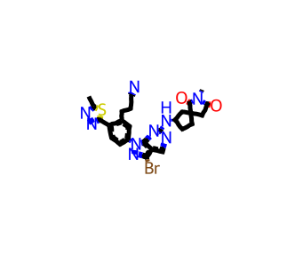 Cc1nnc(-c2ccc(-n3nc(Br)c4cnc(N[C@@H]5CCC6(CC(=O)N(C)C6=O)C5)nc43)cc2CCC#N)s1